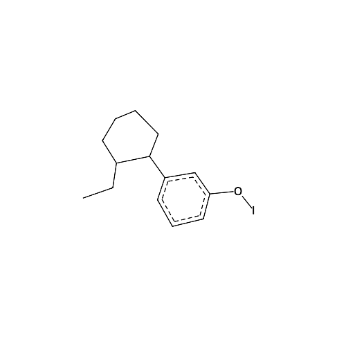 CCC1CCCCC1c1cccc(OI)c1